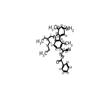 CCCCC(CC)CN1c2ccc(/C(C#N)=N/OC(=O)c3ccccc3)c(C)c2C2=CC(N)=CC(C)C21